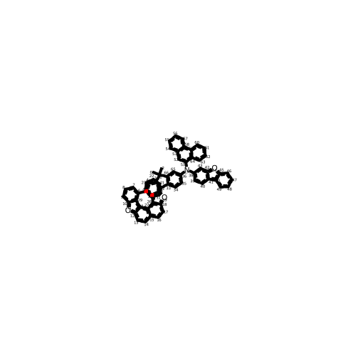 CC1(C)c2cc(-c3cccc4oc5ccc6ccc7oc8ccccc8c7c6c5c34)ccc2-c2ccc(N(c3ccc4c(c3)oc3ccccc34)c3cc4ccccc4c4ccccc34)cc21